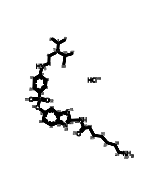 CC(C)N(CCNc1ccc(S(=O)(=O)Oc2ccc3nc(NC(=O)CCCCCCN)sc3c2)cc1)C(C)C.Cl